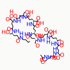 CCCCNC(=O)CC[C@@H](CO)NC(=O)CCC(NC(=O)CC[C@@H](CO)NC(=O)CC[C@H](NC(=O)CC[C@@H](CO)NC(=O)CC[C@@H](C=O)NC(=O)CCC(NC(=O)CC[C@@H](C=O)NC(=O)CCC(NC(=O)CC[C@@H](C=O)NC(C)=O)C(=O)O)C(=O)O)C(=O)O)C(=O)O